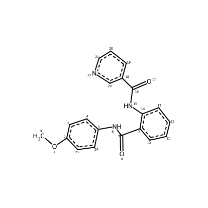 COc1ccc(NC(=O)c2ccccc2NC(=O)c2cccnc2)cc1